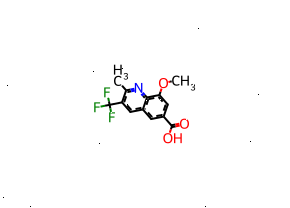 COc1cc(C(=O)O)cc2cc(C(F)(F)F)c(C)nc12